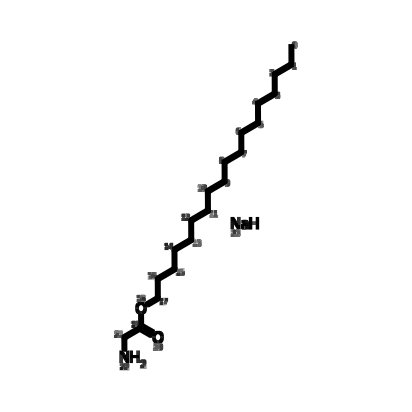 CCCCCCCCCCCCCCCCCCOC(=O)CN.[NaH]